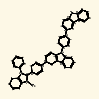 CN1C2=C(CCC=C2)N(c2ccccc2)C1C1C=CC(C2C=Cc3c(c4ccccc4n3-c3ccc(-c4ccc5oc6ccccc6c5c4)cc3)C2)=CC1